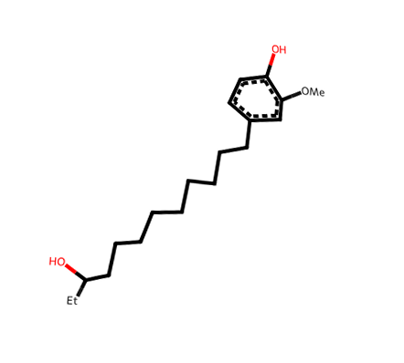 CCC(O)CCCCCCCCCc1ccc(O)c(OC)c1